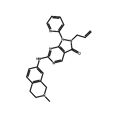 C=CCn1c(=O)c2cnc(Nc3ccc4c(c3)CN(C)CC4)nc2n1-c1ccccn1